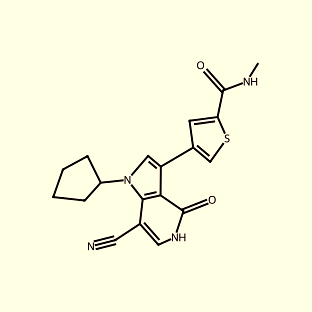 CNC(=O)c1cc(-c2cn(C3CCCC3)c3c(C#N)c[nH]c(=O)c23)cs1